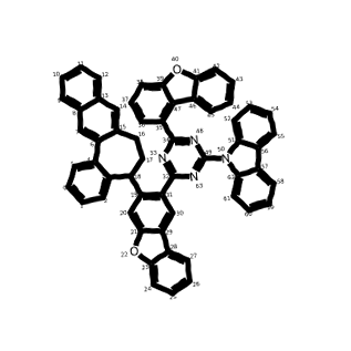 c1ccc2c(c1)-c1cc3ccccc3cc1CCC2c1cc2oc3ccccc3c2cc1-c1nc(-c2cccc3oc4ccccc4c23)nc(-n2c3ccccc3c3ccccc32)n1